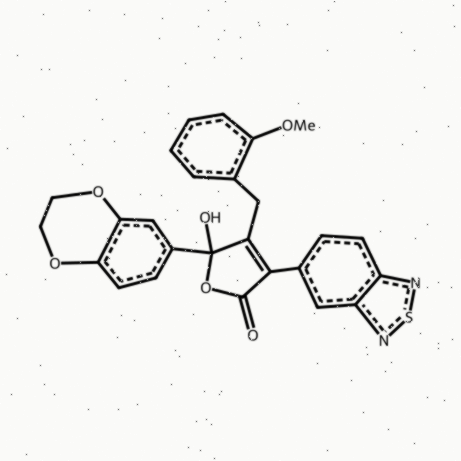 COc1ccccc1CC1=C(c2ccc3nsnc3c2)C(=O)OC1(O)c1ccc2c(c1)OCCO2